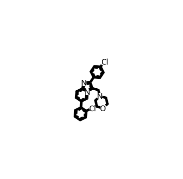 Clc1ccc(-c2nc3ccc(-c4ccccc4Cl)cn3c2CN2CCOCC2)cc1